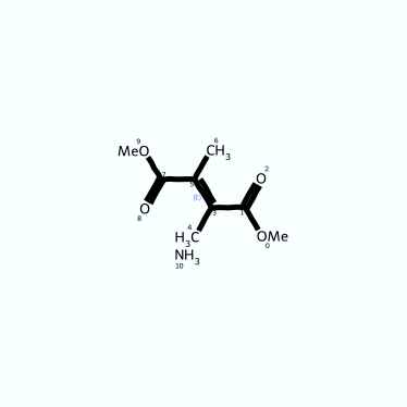 COC(=O)/C(C)=C(\C)C(=O)OC.N